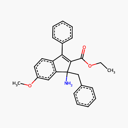 CCOC(=O)C1=C(c2ccccc2)c2ccc(OC)cc2C1(N)Cc1ccccc1